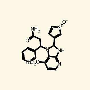 NC(=O)CC(c1cccnc1)N1c2c(C(=O)O)ccnc2NC1c1cc[s+]([O-])c1